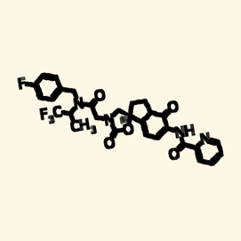 CC(N(Cc1ccc(F)cc1)C(=O)CN1C[C@]2(CCC3C(=O)C(NC(=O)c4ccccn4)=CC=C32)OC1=O)C(F)(F)F